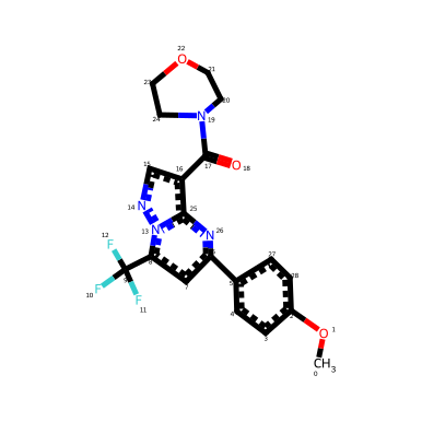 COc1ccc(-c2cc(C(F)(F)F)n3ncc(C(=O)N4CCOCC4)c3n2)cc1